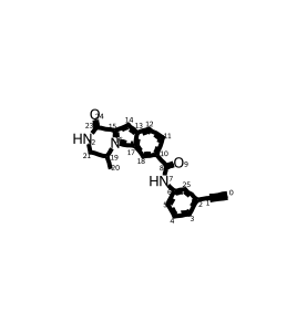 C#Cc1cccc(NC(=O)c2ccc3cc4n(c3c2)C(C)CNC4=O)c1